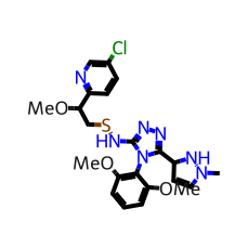 COc1cccc(OC)c1-n1c(NSCC(OC)c2ccc(Cl)cn2)nnc1C1C=CN(C)N1